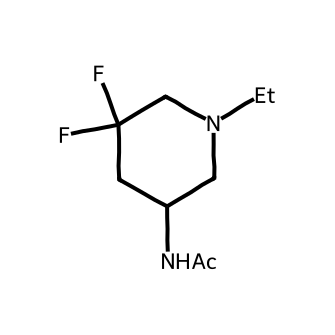 CCN1CC(NC(C)=O)CC(F)(F)C1